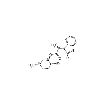 CCc1nc2ccccc2n1[C@H](C)C(=O)O[C@@H]1C[C@H](C)CCC1C(C)C